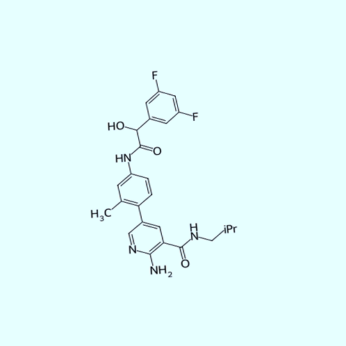 Cc1cc(NC(=O)C(O)c2cc(F)cc(F)c2)ccc1-c1cnc(N)c(C(=O)NCC(C)C)c1